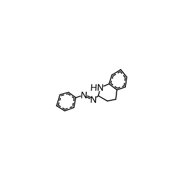 c1ccc(N=NC2CCc3ccccc3N2)cc1